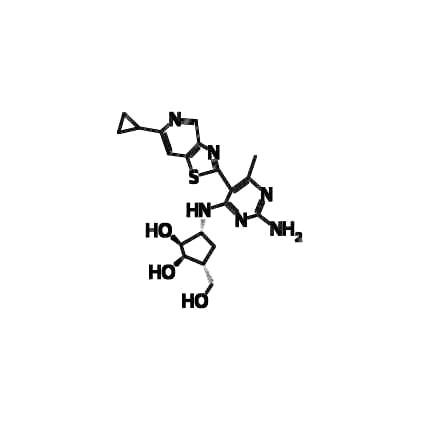 Cc1nc(N)nc(N[C@@H]2C[C@H](CO)[C@@H](O)[C@H]2O)c1-c1nc2cnc(C3CC3)cc2s1